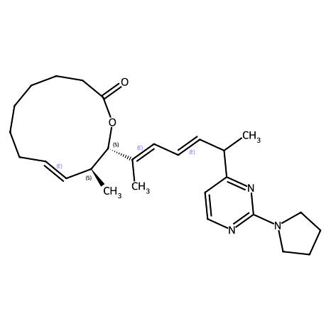 C/C(=C\C=C\C(C)c1ccnc(N2CCCC2)n1)[C@H]1OC(=O)CCCCCC/C=C/[C@@H]1C